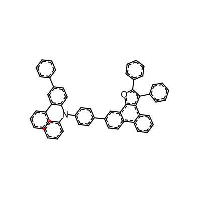 c1ccc(-c2ccc(N(c3ccccc3)c3ccc(-c4ccc5c6ccccc6c6c(-c7ccccc7)c(-c7ccccc7)oc6c5c4)cc3)c(-c3ccccc3)c2)cc1